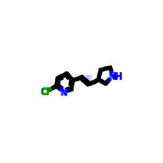 Clc1ccc(/C=C/C2CCNC2)cn1